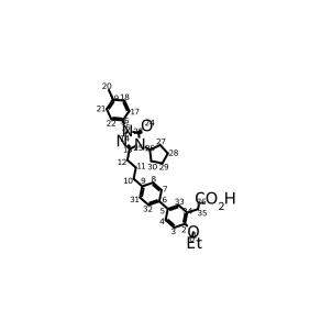 CCOc1ccc(-c2ccc(CCCc3nn(-c4ccc(C)cc4)c(=O)n3C3CCCC3)cc2)cc1CC(=O)O